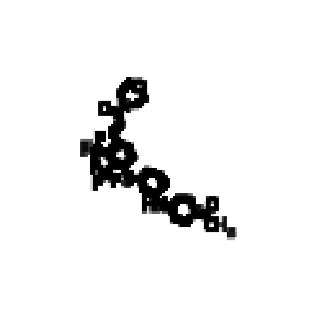 CC(=O)N1CCC(Nc2cccc(Sc3ccc(C=CC(=O)N4CCOCC4)c(C(F)(F)F)c3C(F)(F)F)c2)CC1